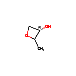 CC1OC[C@@H]1O